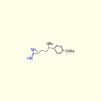 C[CH]CCC(CCCC(=N)N)c1ccc(OC)cc1